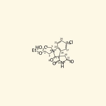 CCOCC[N+]1(CC(=O)O)C(=O)C2(CC(=O)NC2=O)c2cc(Cl)ccc21